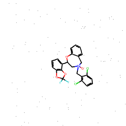 [O-][N+]1(Cc2c(Cl)cccc2Cl)Cc2ccccc2OC(c2cccc3c2OC(F)(F)O3)C1